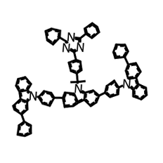 CC(C)(c1ccc(-c2nc(-c3ccccc3)nc(-c3ccccc3)n2)cc1)n1c2cc(-c3ccc(-n4c5ccccc5c5ccc(-c6ccccc6)cc54)cc3)ccc2c2ccc(-c3ccc(-n4c5ccccc5c5ccc(-c6ccccc6)cc54)cc3)cc21